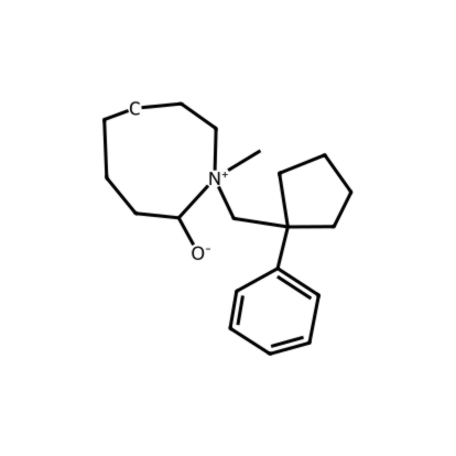 C[N+]1(CC2(c3ccccc3)CCCC2)CCCCCCC1[O-]